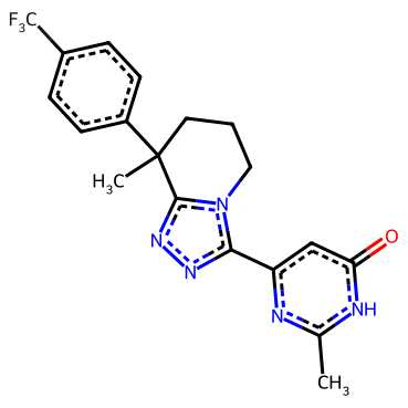 Cc1nc(-c2nnc3n2CCCC3(C)c2ccc(C(F)(F)F)cc2)cc(=O)[nH]1